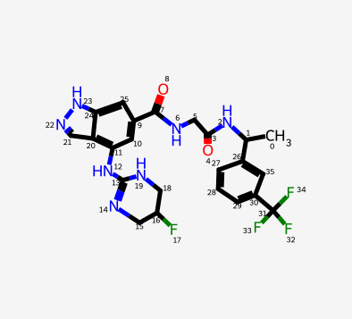 CC(NC(=O)CNC(=O)c1cc(NC2=NCC(F)CN2)c2cn[nH]c2c1)c1cccc(C(F)(F)F)c1